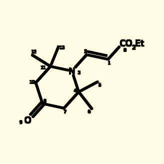 CCOC(=O)C=CN1C(C)(C)CC(=O)CC1(C)C